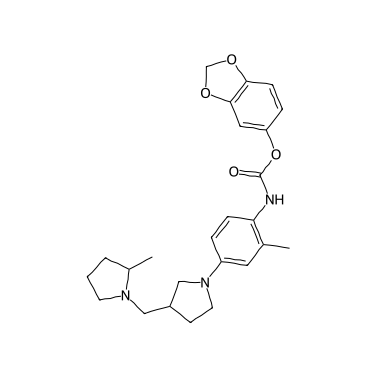 Cc1cc(N2CCC(CN3CCCC3C)C2)ccc1NC(=O)Oc1ccc2c(c1)OCO2